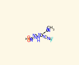 Cn1cc(C#Cc2cnc(Nc3ccnc(-c4cnn(S(=O)(=O)C5CC5)c4)n3)cc2N2CCC(N3CC(F)(F)C3)CC2)cn1